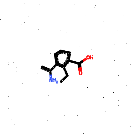 C=C(N)c1cccc(C(=O)O)c1CC